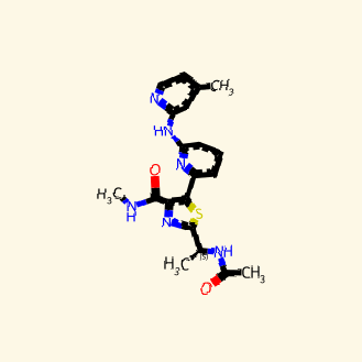 CNC(=O)c1nc([C@H](C)NC(C)=O)sc1-c1cccc(Nc2cc(C)ccn2)n1